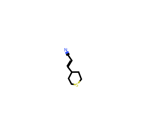 N#CC=CC1CCSCC1